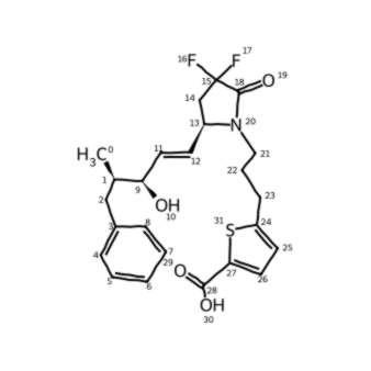 C[C@H](Cc1ccccc1)[C@H](O)C=C[C@H]1CC(F)(F)C(=O)N1CCCc1ccc(C(=O)O)s1